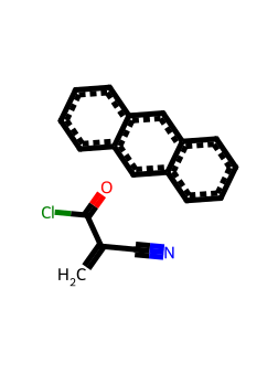 C=C(C#N)C(=O)Cl.c1ccc2cc3ccccc3cc2c1